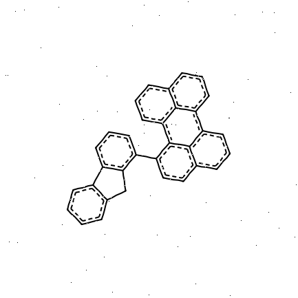 c1ccc2c(c1)Cc1c-2cccc1-c1ccc2cccc3c4cccc5cccc(c1c23)c54